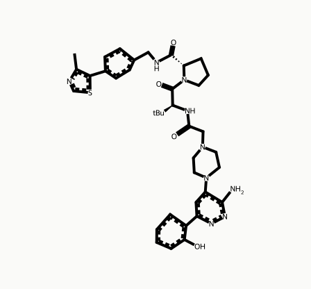 Cc1ncsc1-c1ccc(CNC(=O)[C@@H]2CCCN2C(=O)[C@@H](NC(=O)CN2CCN(c3cc(-c4ccccc4O)nnc3N)CC2)C(C)(C)C)cc1